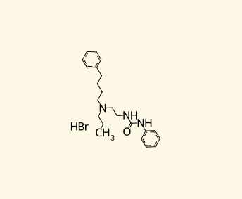 Br.CCCN(CCCCc1ccccc1)CCNC(=O)Nc1ccccc1